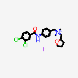 C[N+](C)(Cc1ccc(NC(=O)c2ccc(Cl)c(Cl)c2)cc1)CC1CCCO1.[I-]